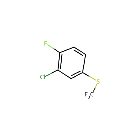 Fc1ccc(SC(F)(F)F)cc1Cl